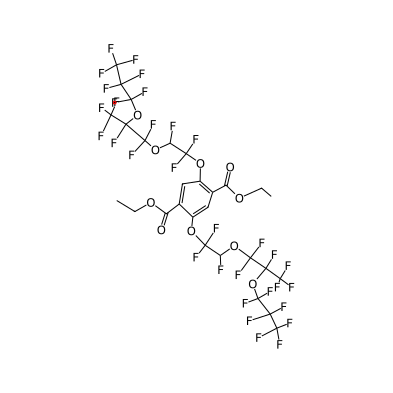 CCOC(=O)c1cc(OC(F)(F)C(F)OC(F)(F)C(F)(OC(F)(F)C(F)(F)C(F)(F)F)C(F)(F)F)c(C(=O)OCC)cc1OC(F)(F)C(F)OC(F)(F)C(F)(OC(F)(F)C(F)(F)C(F)(F)F)C(F)(F)F